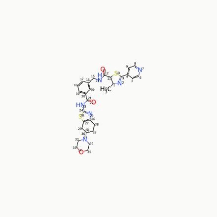 CC1N=C(c2ccncc2)SC1C(=O)NCc1cccc(C(=O)Nc2nc3c(s2)C[C@@H](N2CCOCC2)CC3)c1